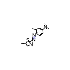 Cc1cnc(/N=N/c2ccc(N(C)C)cc2C)s1